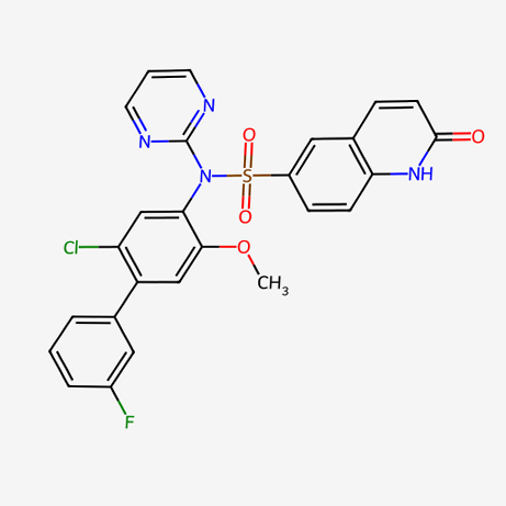 COc1cc(-c2cccc(F)c2)c(Cl)cc1N(c1ncccn1)S(=O)(=O)c1ccc2[nH]c(=O)ccc2c1